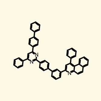 c1ccc(-c2ccc(-c3cc(-c4ccccc4)nc(-c4ccc(-c5cccc(-c6cc(-c7ccccc7)c7c(ccc8ccccc87)n6)c5)cc4)n3)cc2)cc1